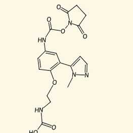 Cn1nccc1-c1cc(NC(=O)ON2C(=O)CCC2=O)ccc1OCCNC(=O)O